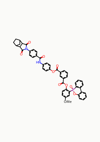 COc1ccc(OC(=O)c2cccc(C(=O)Oc3ccc(NC(=O)c4ccc(N5C(=O)C6C7CCC(C7)C6C5=O)cc4)cc3)c2)c(P2(=O)Oc3ccccc3-c3ccccc32)c1